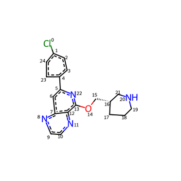 Clc1ccc(-c2cc3nccnc3c(OC[C@H]3CCCNC3)n2)cc1